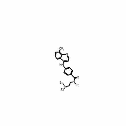 CCN(CC)CCN(CC)C(=O)c1ccc(Nc2ccnc3c(C(F)(F)F)cccc23)cc1